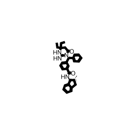 CCC1(CC)CC(=O)N(C(c2ccccc2)c2cccc(C(=O)N[C@@H]3c4ccccc4C[C@H]3C)c2)C(=N)N1